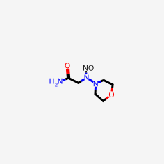 NC(=O)CN(N=O)N1CCOCC1